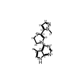 Cc1c[nH]c2ncnc(N3C=C(c4ccnn4C)SCC3)c12